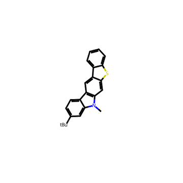 Cn1c2cc(C(C)(C)C)ccc2c2cc3c(cc21)sc1ccccc13